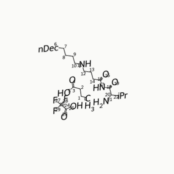 CCCC(=O)O.CCCCCCCCCCCCCCNCCCC(=O)NC(=O)C(N)C(C)C.O=C(O)C(F)(F)F